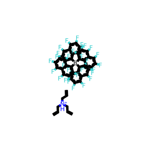 C=CC[NH+](CC=C)CC=C.Fc1c(F)c(F)c2c([B-](c3c(F)c(F)c(F)c4c(F)c(F)c(F)c(F)c34)(c3c(F)c(F)c(F)c4c(F)c(F)c(F)c(F)c34)c3c(F)c(F)c(F)c4c(F)c(F)c(F)c(F)c34)c(F)c(F)c(F)c2c1F